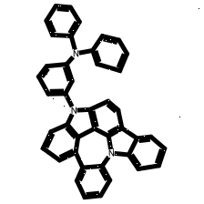 c1ccc(N(c2ccccc2)c2cccc(-n3c4cccc5c6ccccc6n6c7ccccc7c7ccc3c(c54)c76)c2)cc1